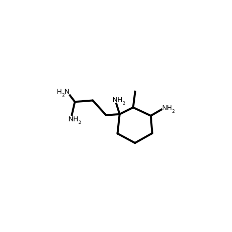 CC1C(N)CCCC1(N)CCC(N)N